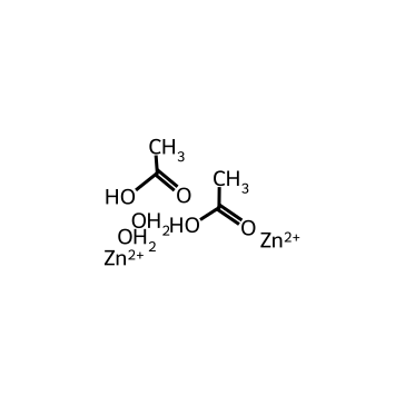 CC(=O)O.CC(=O)O.O.O.[Zn+2].[Zn+2]